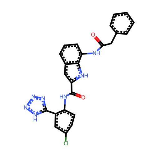 O=C(Cc1ccccc1)Nc1cccc2cc(C(=O)Nc3ccc(Cl)cc3-c3nnn[nH]3)[nH]c12